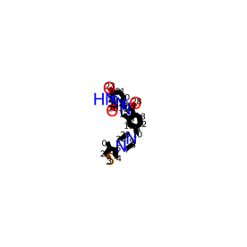 Cc1cscc1N1CCN(Cc2ccc3c(c2)CN(N2CCC(=O)NC2=O)C3=O)CC1